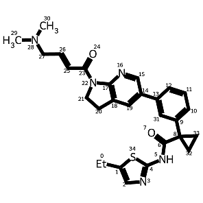 CCc1cnc(NC(=O)C2(c3cccc(-c4cnc5c(c4)CCN5C(=O)C=CCN(C)C)c3)CC2)s1